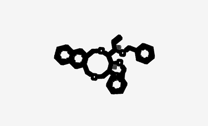 C=C[C@@H](OCc1ccccc1)C1OCc2cc3ccccc3cc2COCC(O)[C@@H]1OCc1ccccc1